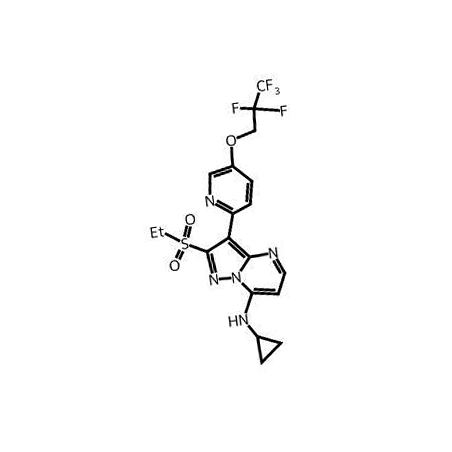 CCS(=O)(=O)c1nn2c(NC3CC3)ccnc2c1-c1ccc(OCC(F)(F)C(F)(F)F)cn1